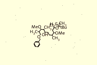 CCC(CC(OC)C(C)CCC(O)C(C)C(OC)C(C)COCc1ccccc1)O[Si](C)(C)C(C)(C)C